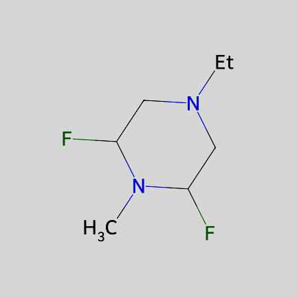 CCN1CC(F)N(C)C(F)C1